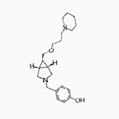 Oc1ccc(CN2C[C@@H]3[C@@H](COCCCN4CCCCC4)[C@@H]3C2)cc1